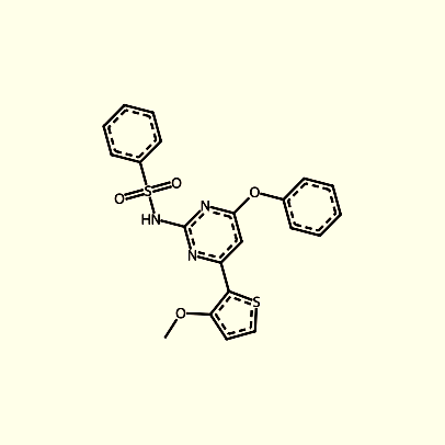 COc1ccsc1-c1cc(Oc2ccccc2)nc(NS(=O)(=O)c2ccccc2)n1